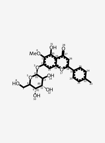 COc1c(O[C@@H]2OC(CO)[C@@H](O)[C@@H](O)C2O)cc2oc(-c3ccc(C)cc3)cc(=O)c2c1O